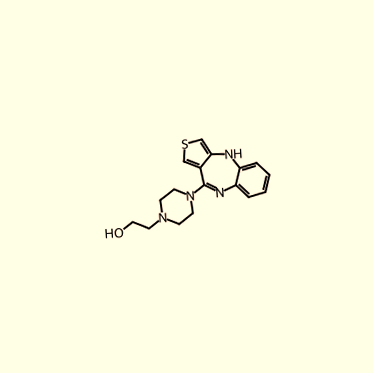 OCCN1CCN(C2=Nc3ccccc3Nc3cscc32)CC1